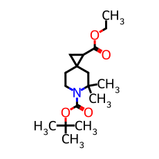 CCOC(=O)C1CC12CCN(C(=O)OC(C)(C)C)C(C)(C)C2